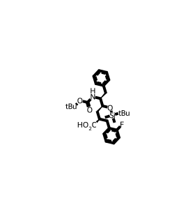 CC(C)(C)OC(=O)N[C@@H](Cc1ccccc1)[C@H](C[C@@H](Cc1ccccc1F)C(=O)O)O[Si](C)(C)C(C)(C)C